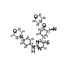 N#Cc1cc(-c2nc(Nc3ccc(N4CCOCC4)cc3)ncc2F)ccc1OC1CCOCC1